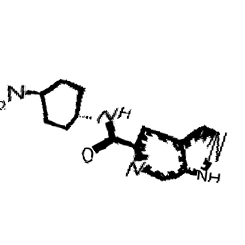 N[C@H]1CC[C@H](NC(=O)c2cc3cn[nH]c3cn2)CC1